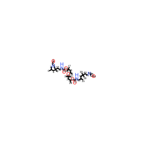 CC(CN=C=O)CC(C)(C)CCNC(=O)OC(C)(C)CC(C)OC(C)(C)CC(C)OC(=O)NCC(C)CC(C)(C)CCN=C=O